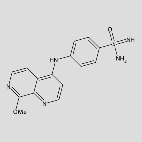 COc1nccc2c(Nc3ccc(S(=N)(N)=O)cc3)ccnc12